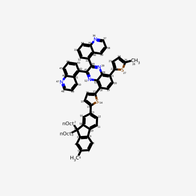 CCCCCCCCC1(CCCCCCCC)c2cc(C)ccc2-c2ccc(-c3ccc(-c4ccc(-c5ccc(C)s5)c5nc(-c6cccc7ncccc67)c(-c6cccc7ncccc67)nc45)s3)cc21